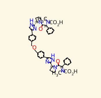 CN(C(=O)O)[C@@H](C(=O)N1CCC[C@H]1c1nc(-c2ccc(COCc3ccc(-c4c[nH]c([C@@H]5CCCN5C(=O)[C@@H](c5ccccc5)N(C)C(=O)O)n4)cc3)cc2)c[nH]1)c1ccccc1